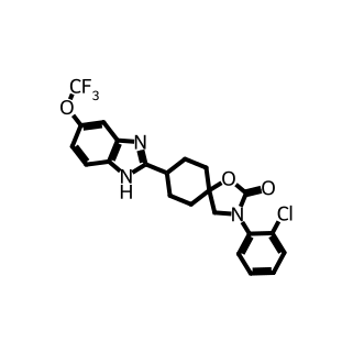 O=C1OC2(CCC(c3nc4cc(OC(F)(F)F)ccc4[nH]3)CC2)CN1c1ccccc1Cl